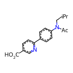 CC(=O)N(CC(C)C)c1ccc(-c2ccc(C(=O)O)cn2)cc1